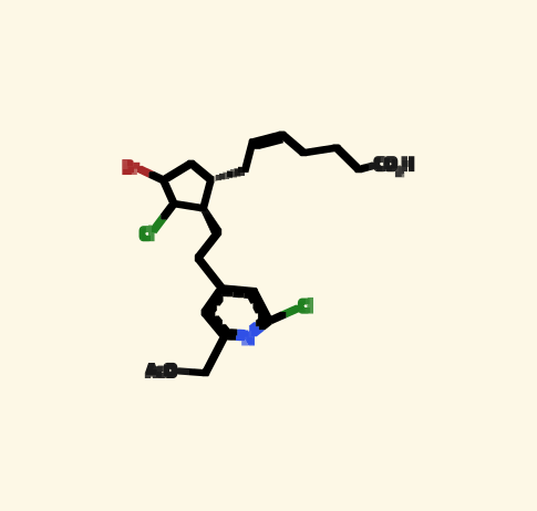 CC(=O)OCc1cc(CC[C@H]2C(Cl)C(Br)C[C@@H]2C/C=C\CCCC(=O)O)cc(Cl)n1